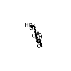 CC(=O)Cc1ccc(CNC(=O)NCCCC[C@H](C)C(=O)O)cc1